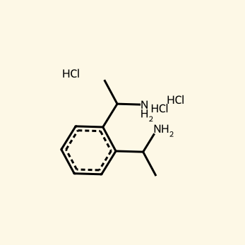 CC(N)c1ccccc1C(C)N.Cl.Cl.Cl